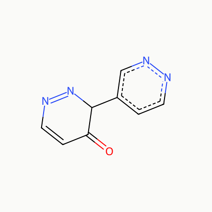 O=C1C=CN=NC1c1ccnnc1